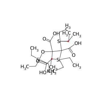 CC[Si](CC)(CC)OC(CC(=O)O)(C(=O)O)C(C(=O)O)([Si](CC)(CC)CC)[Si](CC)(CC)CC